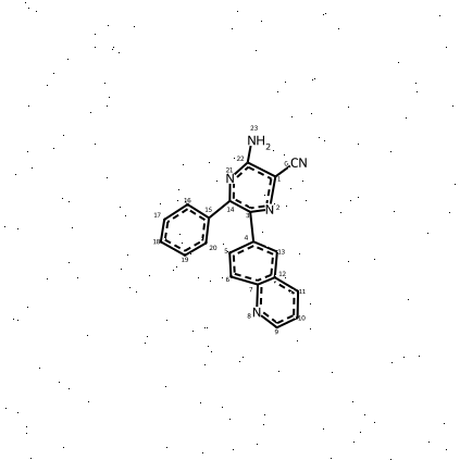 N#Cc1nc(-c2ccc3ncccc3c2)c(-c2ccccc2)nc1N